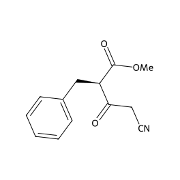 COC(=O)[C@H](Cc1ccccc1)C(=O)CC#N